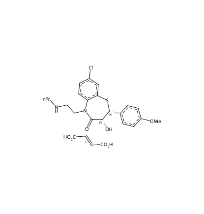 CCCNCCN1C(=O)[C@@H](O)[C@@H](c2ccc(OC)cc2)Sc2cc(Cl)ccc21.O=C(O)/C=C/C(=O)O